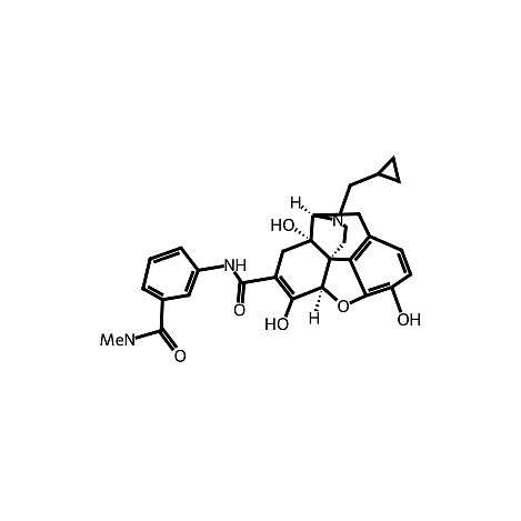 CNC(=O)c1cccc(NC(=O)C2=C(O)[C@@H]3Oc4c(O)ccc5c4[C@@]34CCN(CC3CC3)[C@H](C5)[C@]4(O)C2)c1